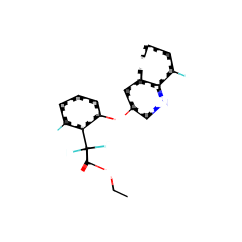 CCOC(=O)C(F)(F)c1c(F)cccc1Oc1cnc2c(F)cccc2c1